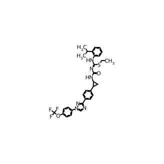 CCS/C(=N\C(=O)NC1CC1c1ccc(-c2ncn(-c3ccc(OC(F)(F)F)cc3)n2)cc1)Nc1ccccc1C(C)C